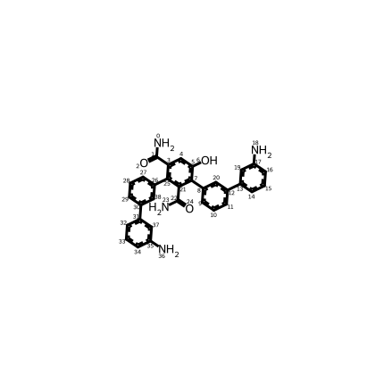 NC(=O)c1cc(O)c(-c2cccc(-c3cccc(N)c3)c2)c(C(N)=O)c1-c1cccc(-c2cccc(N)c2)c1